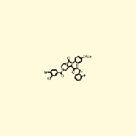 COc1ccc(-n2c(C(=O)N[C@H](C)c3ccccc3F)c3n(c2=O)CCN(C(=O)c2ccc(Br)c(Cl)c2)C3)cc1